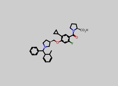 CC1C=CC=CC1C(c1ccccc1)N1CC[C@@H](COc2cc(F)c(C(=O)N3CCC[C@H]3C(=O)O)cc2C2CC2)C1